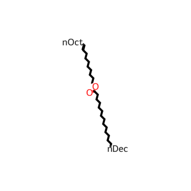 CCCCCCCC/C=C/CCCCCCCCOC(=O)CCCCCCCCCCCCCCCCCCCCCCC